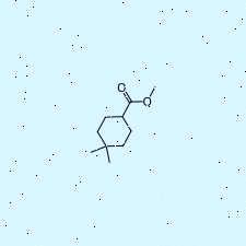 COC(=O)C1CCC(C)(C)CC1